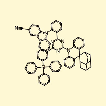 N#Cc1ccc2c(c1)c1ccccc1n2-c1ccccc1-c1nc(-c2cccc([Si](c3ccccc3)(c3ccccc3)c3ccccc3)c2)nc(N2c3ccccc3C3(c4ccccc42)C2CC4CC(C2)CC3C4)n1